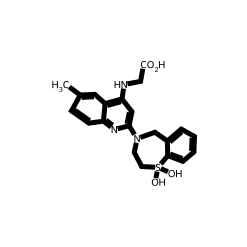 Cc1ccc2nc(N3CCS(O)(O)c4ccccc4C3)cc(NCC(=O)O)c2c1